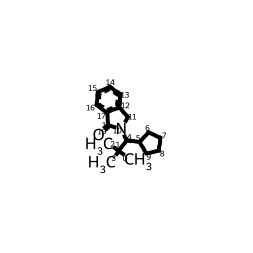 CC(C)(C)C(C1CCCC1)N1Cc2ccccc2C1=O